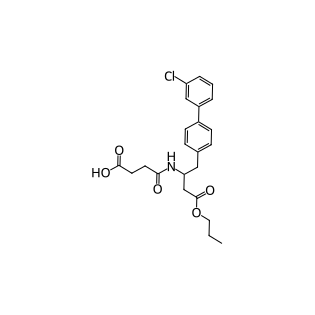 CCCOC(=O)CC(Cc1ccc(-c2cccc(Cl)c2)cc1)NC(=O)CCC(=O)O